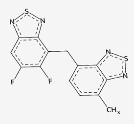 Cc1ccc(Cc2c(F)c(F)cc3nsnc23)c2nsnc12